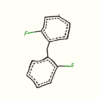 Fc1c[c]ccc1-c1ccccc1F